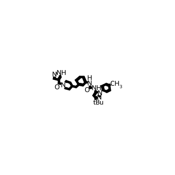 Cc1ccc(-n2nc(C(C)(C)C)cc2NC(=O)Nc2cccc(CC3CCN(C(=O)c4cn[nH]c4)CC3)c2)cc1